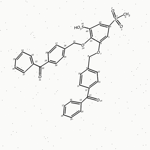 CS(=O)(=O)c1cc(OCc2ccc(C(=O)c3ccccc3)cc2)c(OCc2ccc(C(=O)c3ccccc3)cc2)c(S(=O)(=O)O)c1